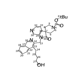 CC(C)(C)OC(=O)N1CCC2(CC1)C(=O)N(Cc1ncc3ccccc3c1CCCCO)c1cnccc12